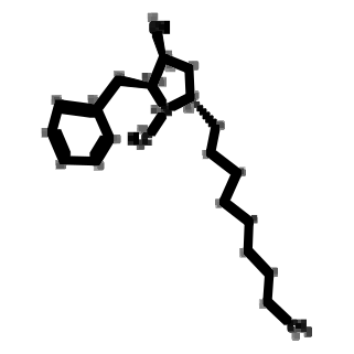 CCCCCCCCC[C@H]1C[C@H](O)[C@H](Cc2ccccc2)N1C